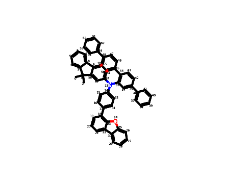 CC1(C)c2ccccc2-c2ccc(N(c3ccc(-c4cccc5c4oc4ccccc45)cc3)c3cc(-c4ccccc4)ccc3-c3ccc(-c4ccccc4)cc3)cc21